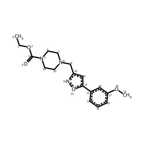 CCOC(=O)N1CCN(Cc2cc(-c3cccc(OC)c3)on2)CC1